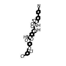 COC(=O)[C@H](Cc1ccc(-c2ccc(C#N)cc2)cc1)NC(=O)C1Cc2cc3c(cc2CN1)O[C@@H](c1ccc(OCc2cc(Cl)ccc2Cl)cc1)C(=O)N3